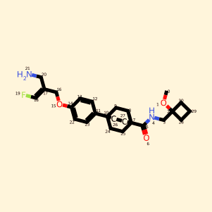 COC1(CNC(=O)C23CCC(c4ccc(OCC(=CF)CN)cc4)(CC2)CC3)CCC1